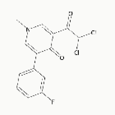 Cn1cc(C(=O)C(Cl)Cl)c(=O)c(-c2cccc(F)c2)c1